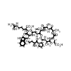 CC(C)[C@H](NC(=O)[C@H](C)NC(=O)[C@H](CCC(=O)O)NC(=O)[C@H](C)NC(=O)[C@@H]1CCCN1C(=O)[C@@H](N)CCC(=O)O)C(=O)NCC(=O)N[C@@H](CC(=O)O)C(=O)N[C@@H](Cc1c[nH]c2ccccc12)C(=O)N[C@@H](CCCNC(=N)N)C(=O)O